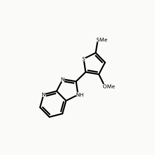 COc1cc(SC)sc1-c1nc2ncccc2[nH]1